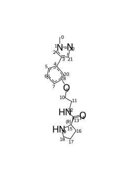 Cn1cc(-c2c[c]cc(OCCNC(=O)[C@H]3CCCN3)c2)cn1